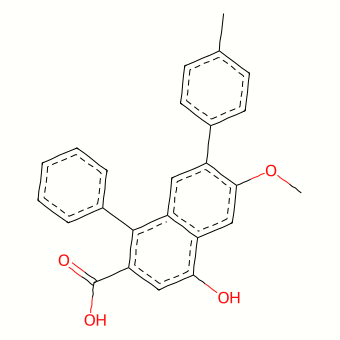 COc1cc2c(O)cc(C(=O)O)c(-c3ccccc3)c2cc1-c1ccc(C)cc1